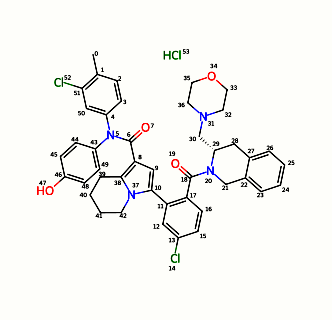 Cc1ccc(N(C(=O)c2cc(-c3cc(Cl)ccc3C(=O)N3Cc4ccccc4C[C@H]3CN3CCOCC3)n3c2CCCC3)c2ccc(O)cc2)cc1Cl.Cl